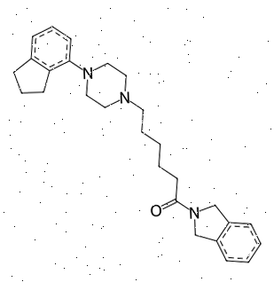 O=C(CCCCCN1CCN(c2cccc3c2CCC3)CC1)N1Cc2ccccc2C1